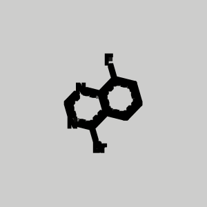 Fc1cccc2c(Br)ncnc12